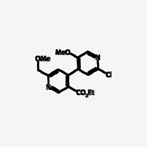 CCOC(=O)c1cnc(COC)cc1-c1cc(Cl)ncc1OC